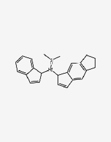 C[SiH](C)[Hf]([CH]1C=Cc2ccccc21)[CH]1C=Cc2cc3c(cc21)CCC3